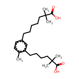 Cc1ccc(CCCCCC(C)(C)C(=O)O)cc1CCCCC(C)(C)C(=O)O